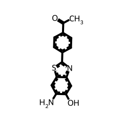 CC(=O)c1ccc(-c2nc3cc(O)c(N)cc3s2)cc1